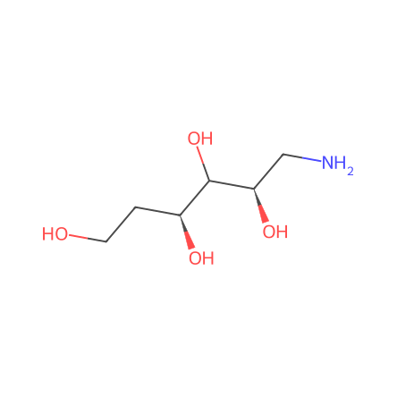 NC[C@@H](O)C(O)[C@@H](O)CCO